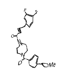 COc1ccc(C(=O)N2CCN(C(=O)/C=C/c3ccc(F)c(F)c3)CC2)cc1